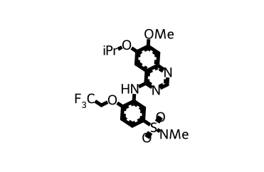 CNS(=O)(=O)c1ccc(OCC(F)(F)F)c(Nc2ncnc3cc(OC)c(OC(C)C)cc23)c1